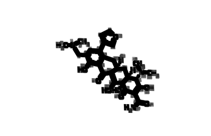 CN(C)Cc1cc(-c2ccoc2)c2c(c1O)C(=O)C1=C(O)[C@]3(O)C(=O)C(C(N)=O)=C(O)[C@@H](N(C)C)[C@@H]3C[C@@H]1C2